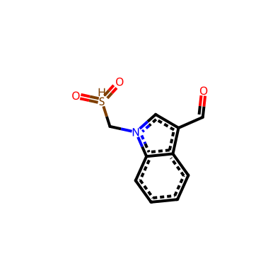 O=Cc1cn(C[SH](=O)=O)c2ccccc12